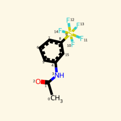 CC(=O)Nc1cccc(S(F)(F)(F)(F)F)c1